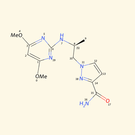 COc1cc(OC)nc(N[C@@H](C)Cn2c[c]c(C(N)=O)n2)n1